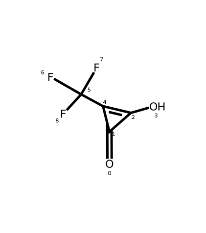 O=c1c(O)c1C(F)(F)F